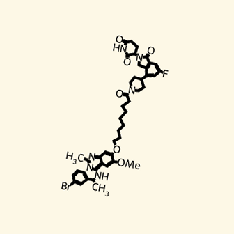 COc1cc2c(NC(C)c3cccc(Br)c3)nc(C)nc2cc1OCCCCCCCCC(=O)N1CCC(c2cc(F)cc3c2CN(C2CCC(=O)NC2=O)C3=O)CC1